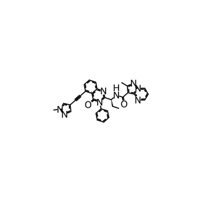 CC[C@H](NC(=O)c1c(C)nn2cccnc12)c1nc2cccc(C#Cc3cnn(C)c3)c2c(=O)n1-c1ccccc1